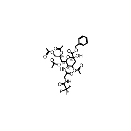 CC(=O)OC[C@@H](OC(C)=O)[C@@H](OC(C)=O)C1O[C@](O)(C(=O)OCc2ccccc2)CC(OC(C)=O)[C@H]1NC(=O)CNC(=O)C(F)(F)F